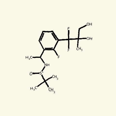 CC(N[S+]([O-])C(C)(C)C)c1cccc(C(F)(F)C(C)(O)CO)c1F